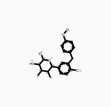 CCOc1ccc(Cc2cc(C3OC(CC)C(O)C(C)C3C)ccc2Cl)cc1